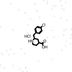 Cl.O=C(O)C1CCNC(Cc2ccc(Cl)cc2)C1